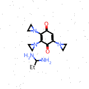 CCC(N)N.O=C1C=C(N2CC2)C(=O)C(N2CC2)=C1N1CC1